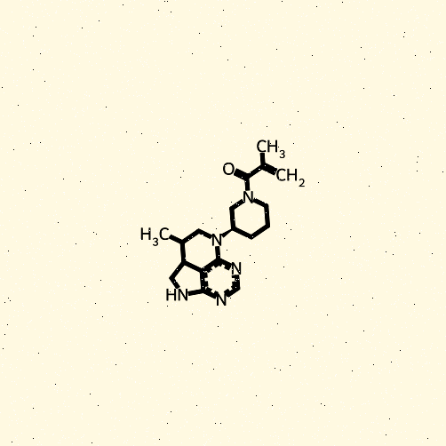 C=C(C)C(=O)N1CCC[C@@H](N2CC(C)C3CNc4ncnc2c43)C1